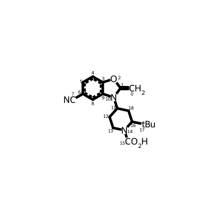 C=C1Oc2ccc(C#N)cc2N1C1CCN(C(=O)O)C(C(C)(C)C)C1